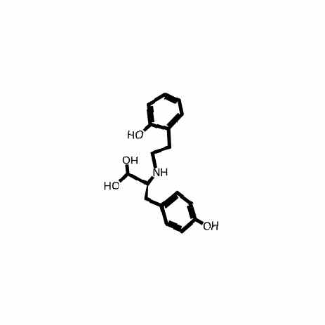 Oc1ccc(C[C@H](NCCc2ccccc2O)C(O)O)cc1